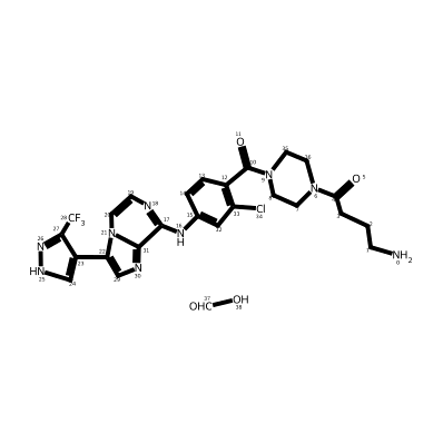 NCCCC(=O)N1CCN(C(=O)c2ccc(Nc3nccn4c(-c5c[nH]nc5C(F)(F)F)cnc34)cc2Cl)CC1.O=CO